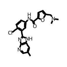 Cc1cnc2nc(-c3cc(NC(=O)c4ccc(CN(C)C)o4)ccc3Cl)[nH]c2c1